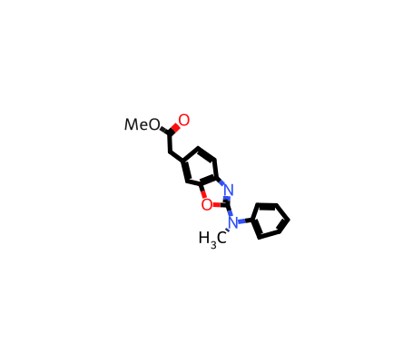 COC(=O)Cc1ccc2nc(N(C)c3ccccc3)oc2c1